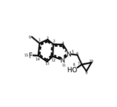 Cc1cc2cn(CC3(O)CC3)nc2cc1F